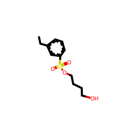 CCc1cccc(S(=O)(=O)OCCCCO)c1